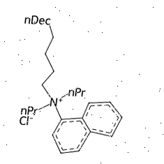 CCCCCCCCCCCCCC[N+](CCC)(CCC)c1cccc2ccccc12.[Cl-]